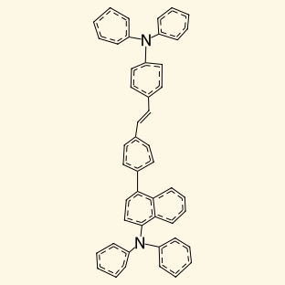 C(=Cc1ccc(N(c2ccccc2)c2ccccc2)cc1)c1ccc(-c2ccc(N(c3ccccc3)c3ccccc3)c3ccccc23)cc1